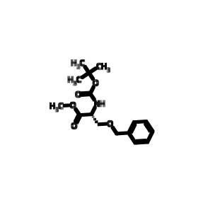 COC(=O)[C@@H](COCc1ccccc1)NC(=O)OC(C)(C)C